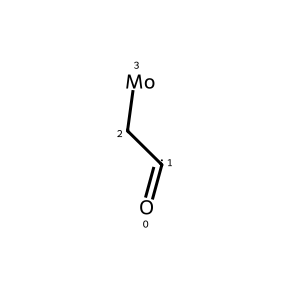 O=[C][CH2][Mo]